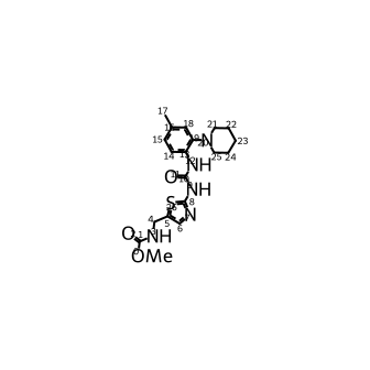 COC(=O)NCc1cnc(NC(=O)Nc2ccc(C)cc2N2CCCCC2)s1